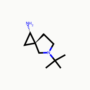 CC(C)(C)N1CC[C@]2(C[C@@H]2N)C1